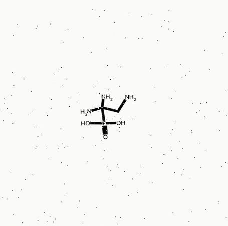 NCC(N)(N)P(=O)(O)O